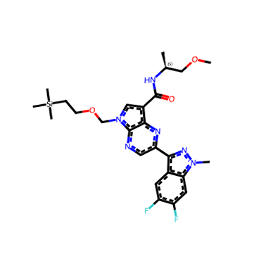 COC[C@H](C)NC(=O)c1cn(COCC[Si](C)(C)C)c2ncc(-c3nn(C)c4cc(F)c(F)cc34)nc12